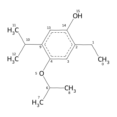 CCc1cc(OC(C)C)c(C(C)C)cc1O